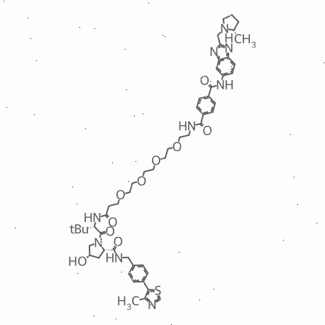 Cc1ncsc1-c1ccc(CNC(=O)[C@@H]2C[C@@H](O)CN2C(=O)[C@@H](NC(=O)CCOCCOCCOCCOCCNC(=O)c2ccc(C(=O)Nc3ccc4[nH]c(CN5CCC[C@@H]5C)nc4c3)cc2)C(C)(C)C)cc1